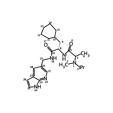 CC(C)N(C)C(C)C(=O)N[C@@H](CC1CCCCC1)C(=O)NCc1cnc2[nH]ccc2c1